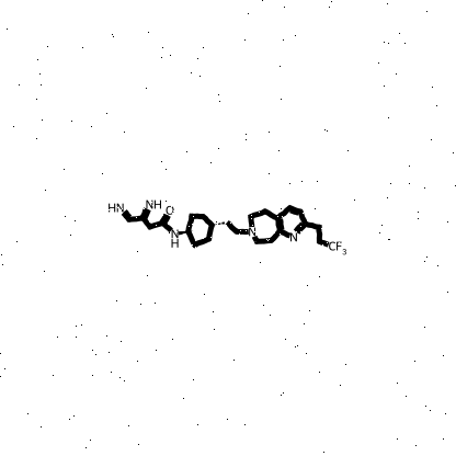 N=CC(=N)CC(=O)N[C@H]1CC[C@H](CCN2CCc3ccc(CCC(F)(F)F)nc3CC2)CC1